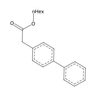 CCCCCCOC(=O)Cc1ccc(-c2ccccc2)cc1